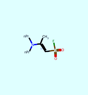 CCCN(CCC)/C(C)=C/S(=O)(=O)F